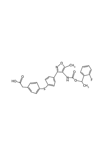 Cc1onc(-c2ccc(Sc3ccc(CC(=O)O)cc3)cc2)c1NC(=O)OC(C)c1ccccc1F